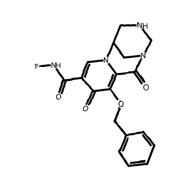 O=C(NF)c1cn2c(c(OCc3ccccc3)c1=O)C(=O)N1CNCC2C1